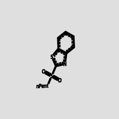 CCCCCS(=O)(=O)c1nc2ccccc2s1